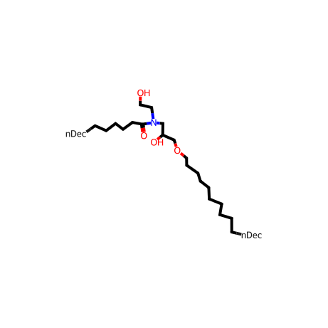 CCCCCCCCCCCCCCCCCCCCOCC(O)CN(CCO)C(=O)CCCCCCCCCCCCCCC